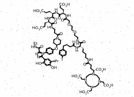 CCNC(=O)c1nnc(-c2cc(C(C)C)c(O)cc2O)n1-c1ccc(OC2CCN(C(=O)CCNC(=O)[C@@H](CCC(=O)O)NC(=O)[C@@H](CCC(=O)O)NC(=O)[C@@H](CCC(=O)O)NC(=O)COCCOCCNC(=O)[C@H](CCCCNC(=O)CC[C@H](C(=O)O)N3CCN(CC(=O)O)CCN(CC(=O)O)CCN(CC(=O)O)CC3)NC(=O)CCCc3ccc(I)cc3)CC2)cc1